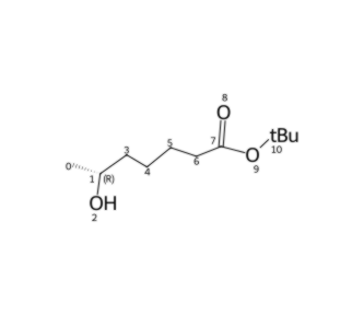 C[C@@H](O)CCCCC(=O)OC(C)(C)C